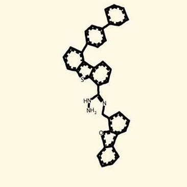 NN/C(=N\Cc1cccc2c1oc1ccccc12)c1cccc2c1sc1cccc(-c3ccc(-c4ccccc4)cc3)c12